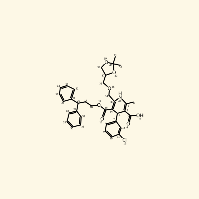 CC1=C(C(=O)O)C(c2cccc(Cl)c2)C(C(=O)OCCC(c2ccccc2)c2ccccc2)=C(COCC2COC(C)(C)O2)N1